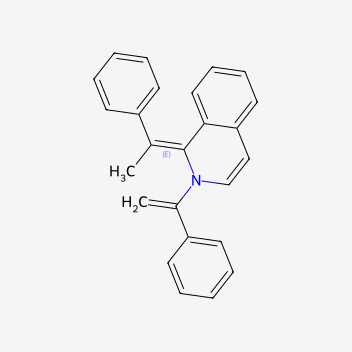 C=C(c1ccccc1)N1C=Cc2ccccc2/C1=C(/C)c1ccccc1